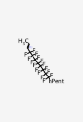 C/C=C/C(F)(F)C(F)(F)C(F)(F)C(F)(F)C(F)(F)C(F)(F)C(F)(F)C(F)(F)CCCCC